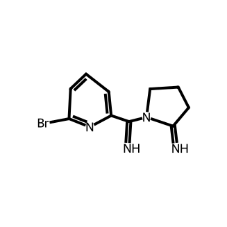 N=C1CCCN1C(=N)c1cccc(Br)n1